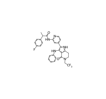 CC(C(=O)Nc1cc(-c2[nH]c3c(c2Nc2ccccc2)C(=O)N(CC(F)(F)F)CC3)ccn1)c1ccc(F)cc1